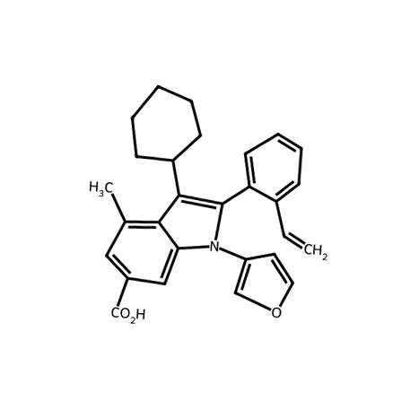 C=Cc1ccccc1-c1c(C2CCCCC2)c2c(C)cc(C(=O)O)cc2n1-c1ccoc1